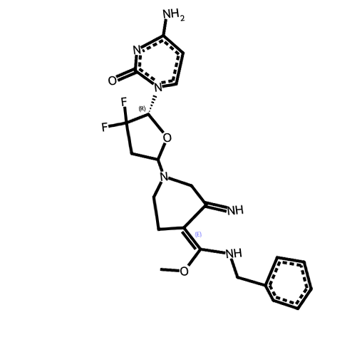 CO/C(NCc1ccccc1)=C1\CCN(C2CC(F)(F)[C@H](n3ccc(N)nc3=O)O2)CC1=N